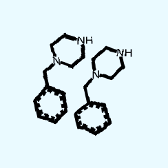 c1ccc(CN2CCNCC2)cc1.c1ccc(CN2CCNCC2)cc1